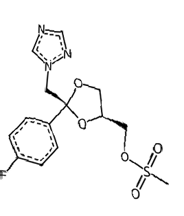 CS(=O)(=O)OC[C@@H]1CO[C@@](Cn2cncn2)(c2ccc(F)cc2)O1